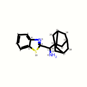 NC(c1nc2ccccc2s1)C12CC3CC(CC(C3)C1)C2